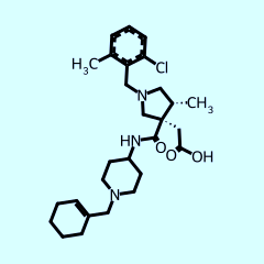 Cc1cccc(Cl)c1CN1C[C@H](C)[C@@](CC(=O)O)(C(=O)NC2CCN(CC3=CCCCC3)CC2)C1